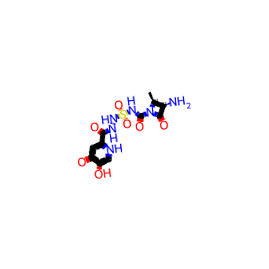 C[C@H]1[C@H](N)C(=O)N1C(=O)NS(=O)(=O)NNC(=O)c1cc(=O)c(O)c[nH]1